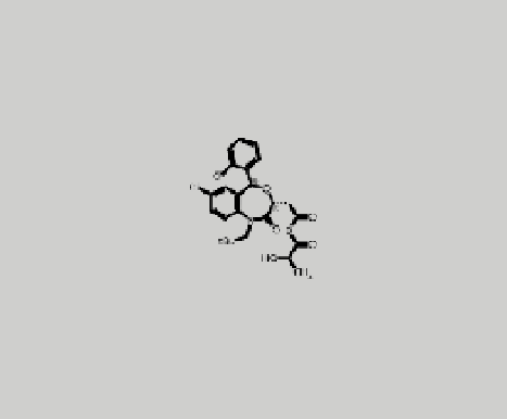 CC(O)C(=O)OC(=O)C[C@H]1O[C@H](c2ccccc2Cl)c2cc(Cl)ccc2N(CC(C)(C)C)C1=O